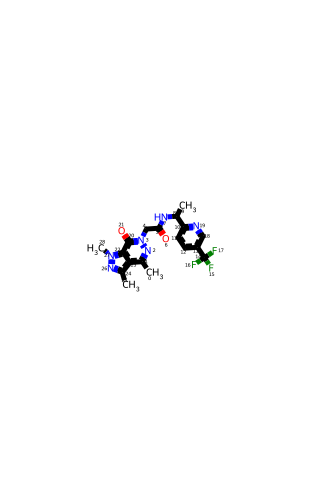 Cc1nn(CC(=O)NC(C)c2ccc(C(F)(F)F)cn2)c(=O)c2c1c(C)nn2C